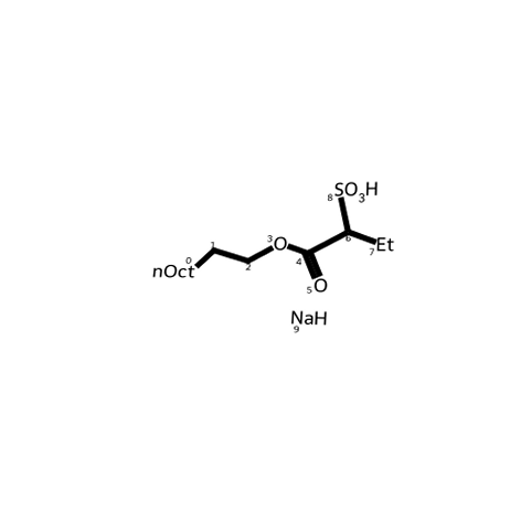 CCCCCCCCCCOC(=O)C(CC)S(=O)(=O)O.[NaH]